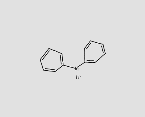 [H-].c1cc[c]([In][c]2ccccc2)cc1